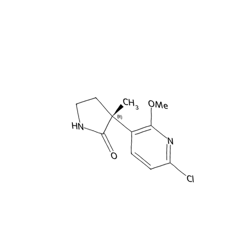 COc1nc(Cl)ccc1[C@@]1(C)CCNC1=O